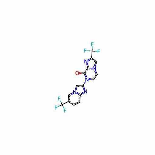 O=c1c2nc(C(F)(F)F)cn2ccn1-c1cn2cc(C(F)(F)F)ccc2n1